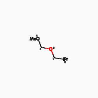 [CH2]C(C)COCOC